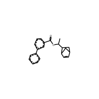 CC(OC(=O)c1cccc(-c2ccccc2)c1)C1CC2C=CC1C2